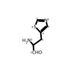 NC([C]=O)Cc1cncs1